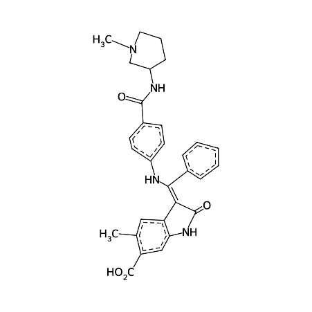 Cc1cc2c(cc1C(=O)O)NC(=O)/C2=C(/Nc1ccc(C(=O)NC2CCCN(C)C2)cc1)c1ccccc1